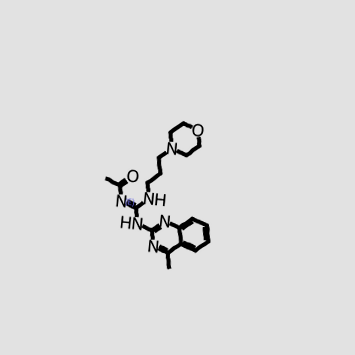 CC(=O)/N=C(\NCCCN1CCOCC1)Nc1nc(C)c2ccccc2n1